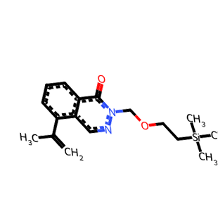 C=C(C)c1cccc2c(=O)n(COCC[Si](C)(C)C)ncc12